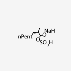 CCCCCC=C(C)C(=O)OS(=O)(=O)O.[NaH]